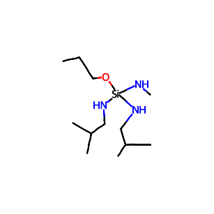 CCCO[Si](NC)(NCC(C)C)NCC(C)C